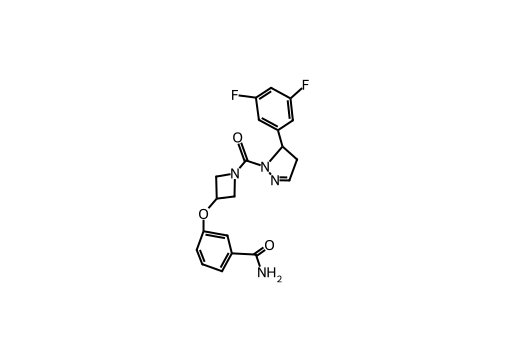 NC(=O)c1cccc(OC2CN(C(=O)N3N=CCC3c3cc(F)cc(F)c3)C2)c1